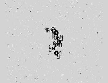 CC(C)C(=O)Nc1c(F)ccc(NC(=O)c2cc(NC(=O)C3[C@H](c4ccc(Cl)c(Cl)c4)C3(Cl)Cl)ccc2Cl)c1F